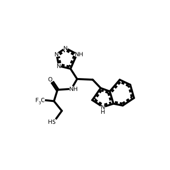 O=C(NC(Cc1c[nH]c2ccccc12)c1nnn[nH]1)C(CS)C(F)(F)F